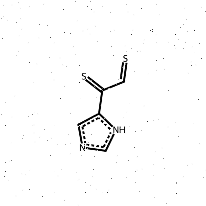 S=CC(=S)c1cnc[nH]1